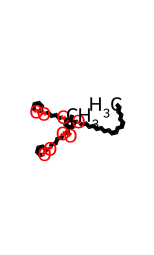 C/C=C/CC/C=C\C/C=C\CCCCCCCCOc1cc(C(=O)OCCCCOC2CCCCO2)cc(OCCCCOC2CCCCO2)c1C